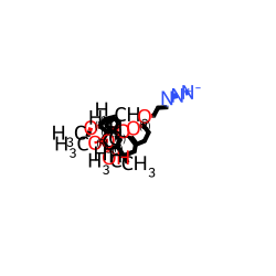 C=C1C(=O)[C@@]23[C@@H]4OC(C)(C)O[C@]25OC[C@]2(C6=C(CC[C@H](OCCCN=[N+]=[N-])O6)CC(C)(C)[C@H]2[C@@H]5O)[C@@H]3CC[C@@H]14